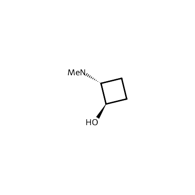 CN[C@@H]1CC[C@H]1O